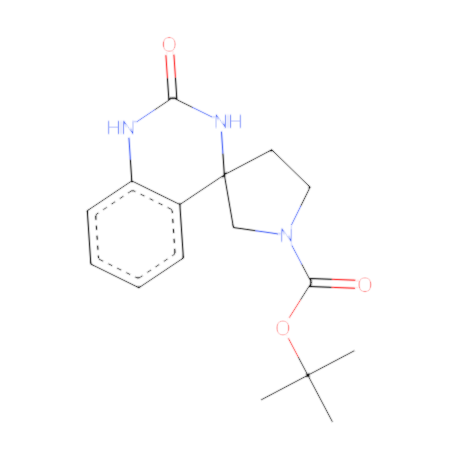 CC(C)(C)OC(=O)N1CCC2(C1)NC(=O)Nc1ccccc12